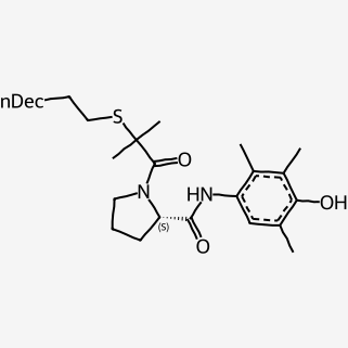 CCCCCCCCCCCCSC(C)(C)C(=O)N1CCC[C@H]1C(=O)Nc1cc(C)c(O)c(C)c1C